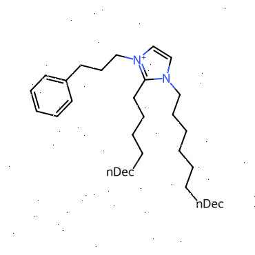 CCCCCCCCCCCCCCCCn1cc[n+](CCCc2ccccc2)c1CCCCCCCCCCCCCC